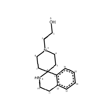 OCCN1CCC2(CC1)NCCc1ccccc12